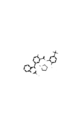 CN1CC[C@@H](N(C)c2ccc(C(F)(F)F)cc2NC(=O)c2cc(-c3nc(N)nc4ccccc34)ccc2F)C1